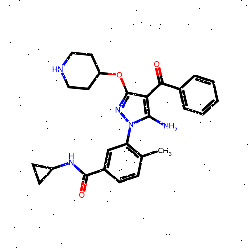 Cc1ccc(C(=O)NC2CC2)cc1-n1nc(OC2CCNCC2)c(C(=O)c2ccccc2)c1N